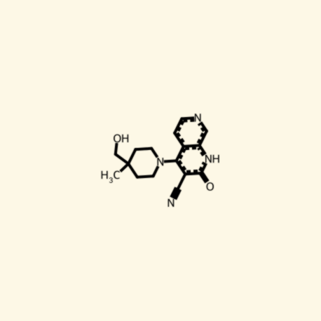 CC1(CO)CCN(c2c(C#N)c(=O)[nH]c3cnccc23)CC1